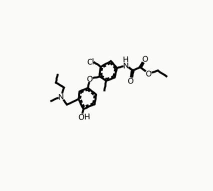 CCCN(C)Cc1cc(Oc2c(C)cc(NC(=O)C(=O)OCC)cc2Cl)ccc1O